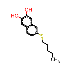 CCCCCSc1ccc2cc(O)c(O)cc2c1